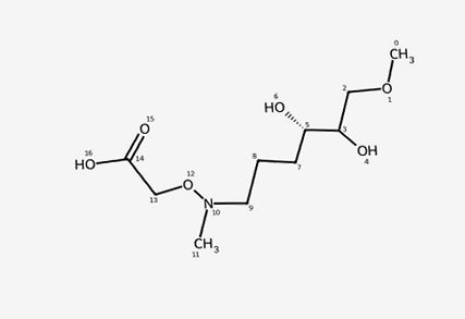 COCC(O)[C@@H](O)CCCN(C)OCC(=O)O